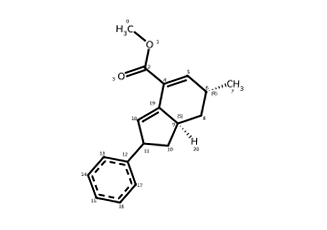 COC(=O)C1=C[C@H](C)C[C@H]2CC(c3ccccc3)C=C12